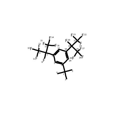 CC(C)(C)c1cc(C(F)(C(F)(F)F)C(F)(F)F)cc(C(F)(C(F)(F)F)C(F)(F)F)c1